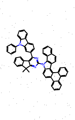 CC1(C)c2ccccc2-c2c(-c3ccc4c5ccccc5n(-c5ccccc5)c4c3)nc(-n3c4ccc5c6ccccc6c6ccccc6c5c4c4ccc5ccccc5c43)nc21